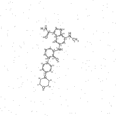 CNc1cc(Nc2cccn(-c3ccc(N4CCOCC4)cc3)c2=O)nc2c(C(N)=O)cnn12